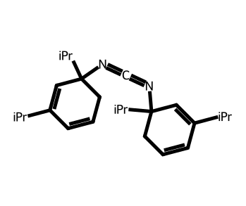 CC(C)C1=CC(N=C=NC2(C(C)C)C=C(C(C)C)C=CC2)(C(C)C)CC=C1